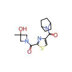 CC1(O)CN(C(=O)c2nc(C(=O)N3C4CCC3CC4)cs2)C1